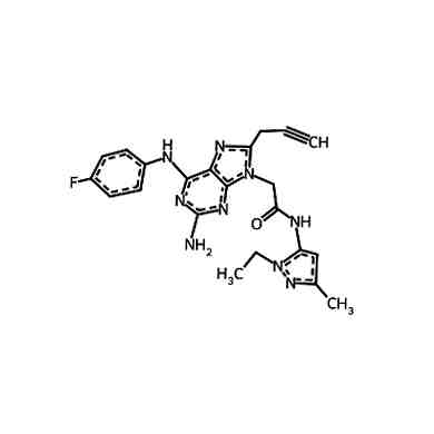 C#CCc1nc2c(Nc3ccc(F)cc3)nc(N)nc2n1CC(=O)Nc1cc(C)nn1CC